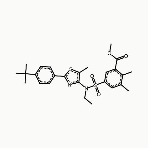 CCN(c1nc(-c2ccc(C(C)(C)C)cc2)sc1C)S(=O)(=O)c1cc(C)c(C)c(C(=O)OC)c1